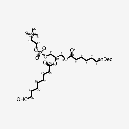 CCCCCCCCCCCCCCCC(=O)OC[C@H](COP(=O)([O-])OCC[N+](C)(C)C)OC(=O)CCCCCCCC=O